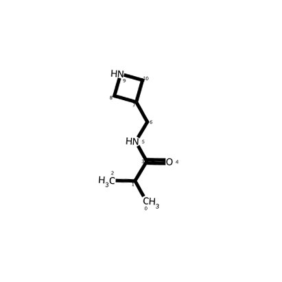 CC(C)C(=O)NCC1CNC1